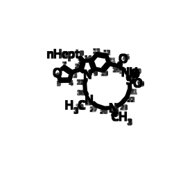 CCCCCCCc1c(-c2ccoc2)n2c3cc(ccc13)C(=O)NS(=O)(=O)CCCN(C)CCN(C)CC2